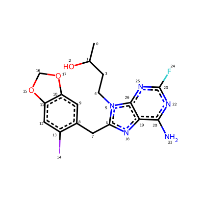 CC(O)CCn1c(Cc2cc3c(cc2I)OCO3)nc2c(N)nc(F)nc21